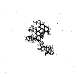 Oc1cc(-c2c(SC(F)(F)F)cc3c(N4CC5CCC(C4)N5)nc(OCC4(CN5C[C@H]6COC[C@H]6C5)CC4)nc3c2F)c2c(F)c(F)ccc2c1